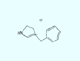 C1=[N+](Cc2ccccc2)CCN1.[Cl-]